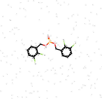 O=[PH](OCc1cccc(F)c1F)OCc1cccc(F)c1F